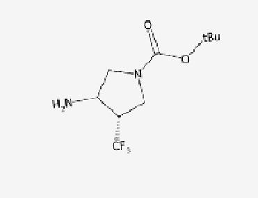 CC(C)(C)OC(=O)N1CC(N)[C@@H](C(F)(F)F)C1